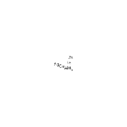 [Ag].[AlH3].[Cu].[Fe].[Zn]